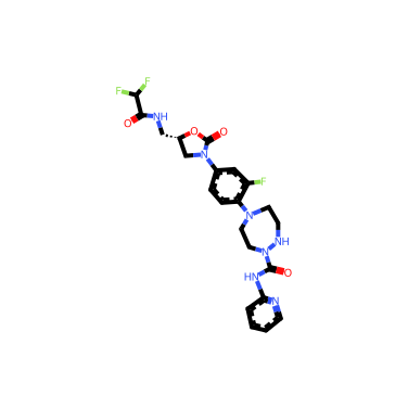 O=C(NC[C@H]1CN(c2ccc(N3CCNN(C(=O)Nc4ccccn4)CC3)c(F)c2)C(=O)O1)C(F)F